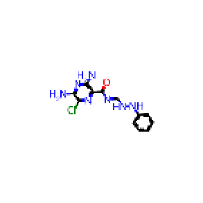 Nc1nc(N)c(C(=O)N=CNNc2ccccc2)nc1Cl